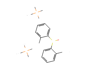 CCCC[PH](CCCC)(CCCC)CCCC.CCCC[PH](CCCC)(CCCC)CCCC.O=C(O)c1ccccc1[S+]([O-])c1ccccc1C(=O)O